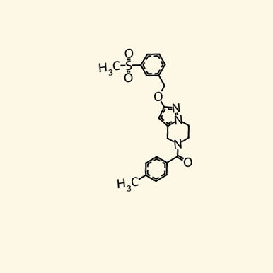 Cc1ccc(C(=O)N2CCn3nc(OCc4cccc(S(C)(=O)=O)c4)cc3C2)cc1